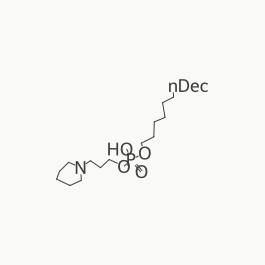 CCCCCCCCCCCCCCCCOP(=O)(O)OCCCN1CCCCC1